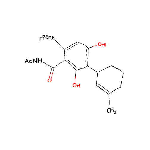 CCCCCc1cc(O)c(C2C=C(C)CCC2)c(O)c1C(=O)NC(C)=O